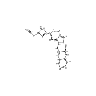 N#CCn1cc(-c2ccc3ncc(Cc4cc5cccnc5cc4F)n3n2)cn1